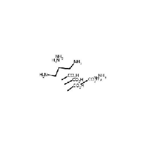 CC(=O)O.CC(=O)O.CC(=O)O.CC(=O)O.N.N.N.N.NCCCN